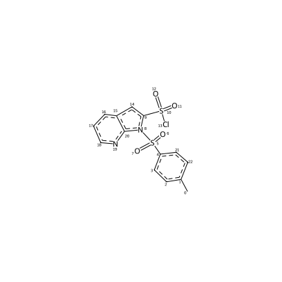 Cc1ccc(S(=O)(=O)n2c(S(=O)(=O)Cl)cc3cccnc32)cc1